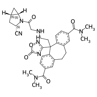 CN(C)C(=O)c1ccc2c(c1)CCc1cc(C(=O)N(C)C)ccc1C2(CCNCC(=O)N1[C@H](C#N)C[C@@H]2C[C@@H]21)c1nc(=O)o[nH]1